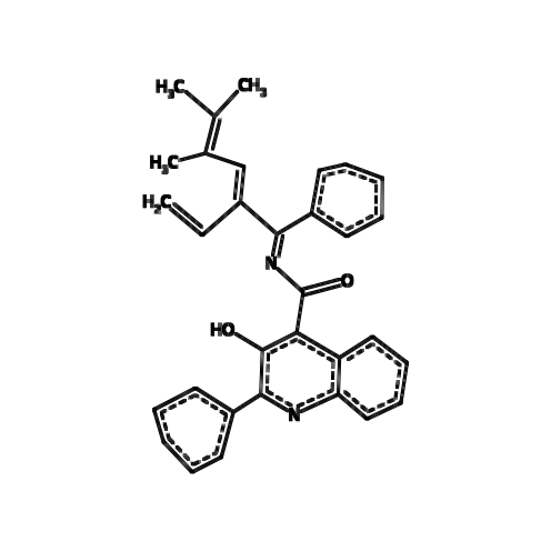 C=CC(=C\C(C)=C(C)C)/C(=N/C(=O)c1c(O)c(-c2ccccc2)nc2ccccc12)c1ccccc1